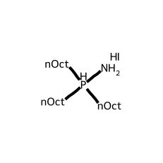 CCCCCCCC[PH](N)(CCCCCCCC)CCCCCCCC.I